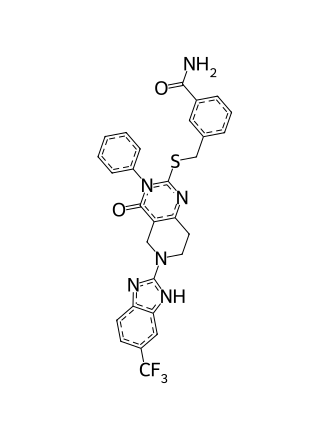 NC(=O)c1cccc(CSc2nc3c(c(=O)n2-c2ccccc2)CN(c2nc4ccc(C(F)(F)F)cc4[nH]2)CC3)c1